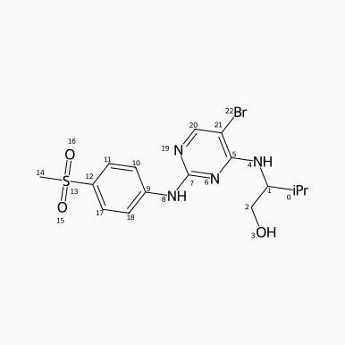 CC(C)C(CO)Nc1nc(Nc2ccc(S(C)(=O)=O)cc2)ncc1Br